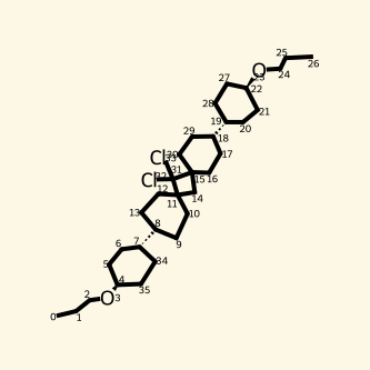 CCCO[C@H]1CC[C@H](C2CCC3(CC2)CC2(CCC([C@H]4CC[C@H](OCCC)CC4)CC2)C3(Cl)Cl)CC1